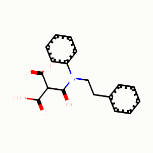 O=C(O)C(C(=O)O)C(=O)N(CCc1ccccc1)c1ccccc1